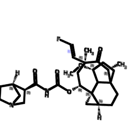 CO[C@@H]1CCC23CC[C@H]4C[C@@]4(C12)[C@H](OC(=O)NC(=O)[C@H]1CN2CC[C@@H]1C2)C[C@@](C)(/C=C/F)C(=O)[C@@H]3C